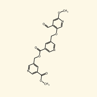 COC(=O)c1cncc(COC(=O)c2cncc(COc3cnc(OC)cc3C=O)c2)c1